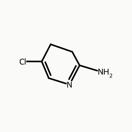 NC1=NC=C(Cl)CC1